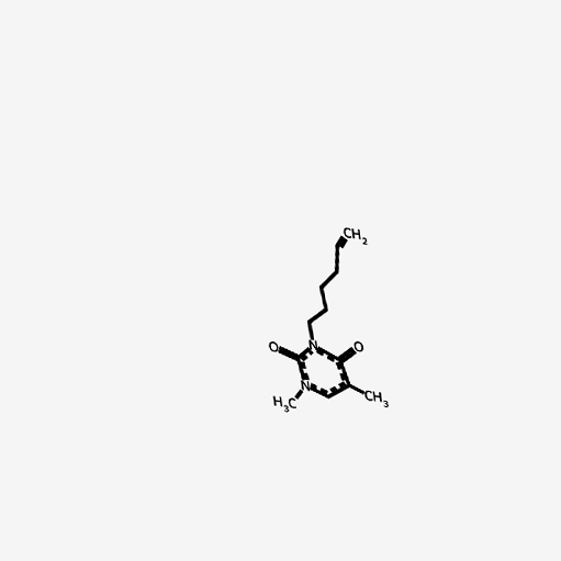 C=CCCCCn1c(=O)c(C)cn(C)c1=O